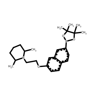 CC1CCCC(C)N1CCOc1ccc2ccc(B3OC(C)(C)C(C)(C)O3)cc2c1